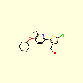 Cc1nc(-c2sc(Cl)cc2CO)ccc1OC1CCCCC1